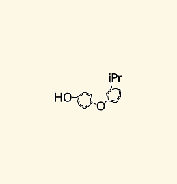 CC(C)c1cccc(Oc2ccc(O)cc2)c1